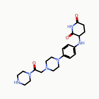 O=C1CCC(Nc2ccc(N3CCN(CC(=O)N4CCNCC4)CC3)cc2)C(=O)N1